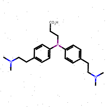 CN(C)CCc1ccc(P(CCC(=O)O)c2ccc(CCN(C)C)cc2)cc1